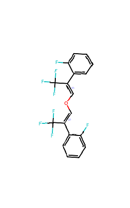 Fc1ccccc1/C(=C/O/C=C(/c1ccccc1F)C(F)(F)F)C(F)(F)F